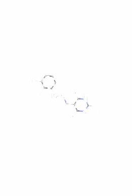 CSc1nc(Cl)c(/C=N/Nc2cccc(F)c2C)c(Cl)n1